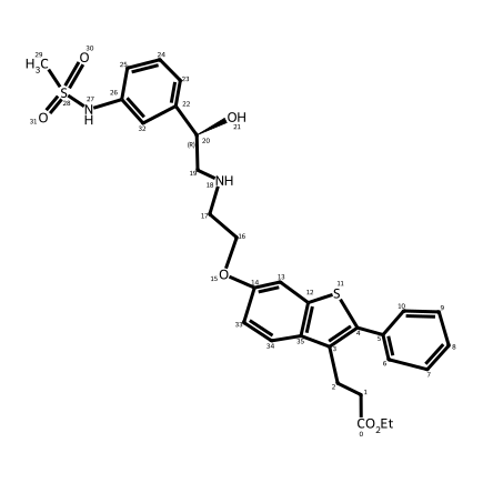 CCOC(=O)CCc1c(-c2ccccc2)sc2cc(OCCNC[C@H](O)c3cccc(NS(C)(=O)=O)c3)ccc12